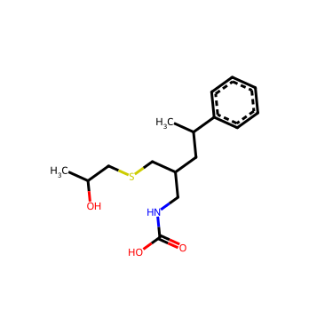 CC(O)CSCC(CNC(=O)O)CC(C)c1ccccc1